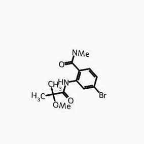 CNC(=O)c1ccc(Br)cc1NC(=O)C(C)(C)OC